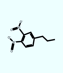 CCCc1ccc([N+](=O)[O-])c([N+](=O)[O-])c1